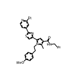 CCc1cc(-c2nc(-c3cc(C(=O)NCC(C)C)c(C)n3CCc3ccc(OC)cc3)cs2)ccn1